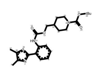 Cc1nc(-c2ccccc2NC(=O)OCC2CCN(C(=O)OC(C)(C)C)CC2)sc1C